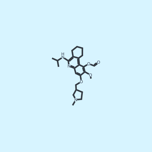 COc1c(OCC2CCN(C)C2)cc2nc(NC(C)C)c3c(c2c1OC=O)CCCC3